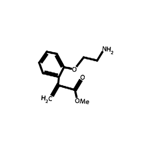 C=C(C(=O)OC)c1ccccc1OCCN